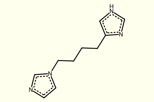 c1cn(CCCCc2c[nH]cn2)cn1